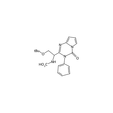 CC(C)(C)OCC(NC(=O)O)c1nc2cccn2c(=O)n1-c1ccccc1